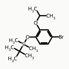 CC(C)Oc1cc(Br)ccc1O[Si](C)(C)C(C)(C)C